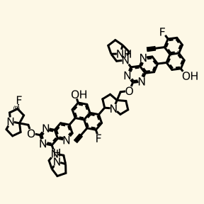 C#Cc1c(F)ccc2cc(O)cc(-c3cnc4c(N5CC6CCC(C5)N6)nc(OCC56CCCN5C(c5cc(F)c(C#C)c7c(-c8cnc9c(N%10CC%11CCC(C%10)N%11)nc(OCC%10%11CCCN%10C[C@H](F)C%11)nc9c8)cc(O)cc57)CC6)nc4c3)c12